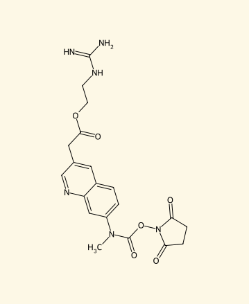 CN(C(=O)ON1C(=O)CCC1=O)c1ccc2cc(CC(=O)OCCNC(=N)N)cnc2c1